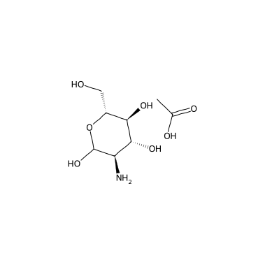 CC(=O)O.N[C@H]1C(O)O[C@H](CO)[C@@H](O)[C@@H]1O